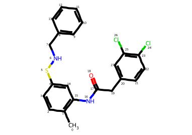 Cc1ccc(SNCc2ccccc2)cc1NC(=O)Cc1ccc(Cl)c(Cl)c1